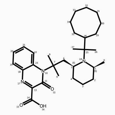 C[C@H]1CCC[C@@H](CC(C)(C)n2c(=O)c(C(=O)O)nc3ccccc32)N1C(C)(C)C1CCCCCCC1